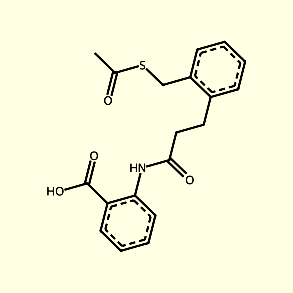 CC(=O)SCc1ccccc1CCC(=O)Nc1ccccc1C(=O)O